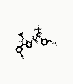 N#Cc1cccc([C@H](NCC2CC2)c2cccc(NC(=O)c3cc(C(F)(F)F)nn3-c3cccc(CN)c3)c2F)c1